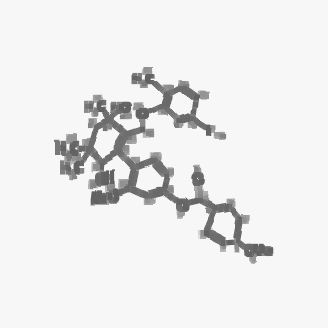 COc1ccc(C(=O)Oc2ccc(C3=C(COc4cc(F)ccc4C)C(C)(O)CC(C)(C)C3O)c(OC)c2)cc1